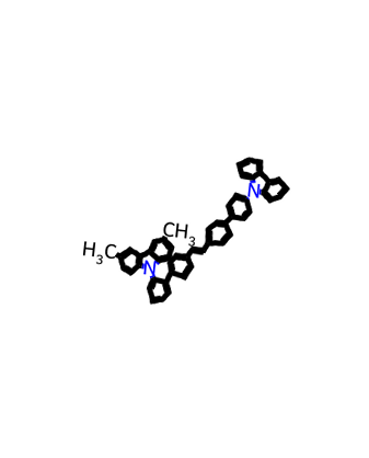 Cc1ccc2c(c1)c1cc(C)ccc1n2-c1ccccc1-c1ccc(/C=C/c2ccc(-c3ccc(-n4c5ccccc5c5ccccc54)cc3)cc2)cc1